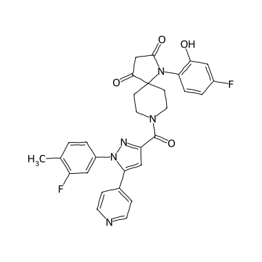 Cc1ccc(-n2nc(C(=O)N3CCC4(CC3)C(=O)CC(=O)N4c3ccc(F)cc3O)cc2-c2ccncc2)cc1F